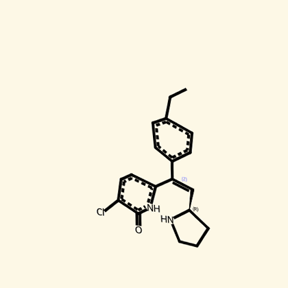 CCc1ccc(/C(=C/[C@H]2CCCN2)c2ccc(Cl)c(=O)[nH]2)cc1